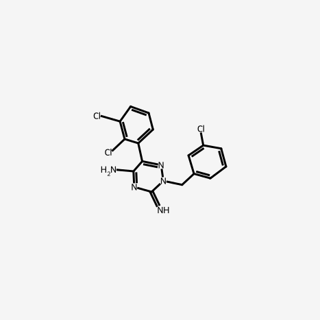 N=c1nc(N)c(-c2cccc(Cl)c2Cl)nn1Cc1cccc(Cl)c1